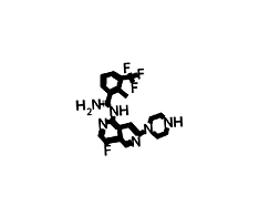 Cc1c([C@@H](N)Nc2ncc(F)c3cnc(N4CCNCC4)cc23)cccc1C(F)(F)F